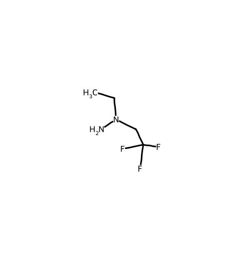 CCN(N)CC(F)(F)F